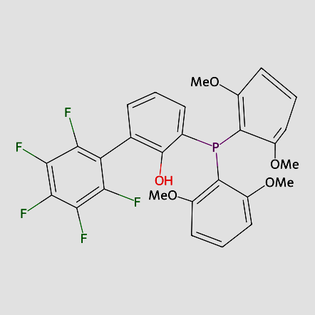 COc1cccc(OC)c1P(c1cccc(-c2c(F)c(F)c(F)c(F)c2F)c1O)c1c(OC)cccc1OC